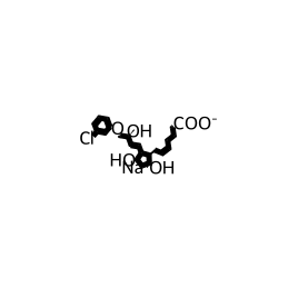 O=C([O-])CCC/C=C\C[C@@H]1C(/C=C/[C@@H](O)COc2cccc(Cl)c2)[C@H](O)C[C@@H]1O.[Na+]